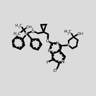 CC1(O)CCCN(c2nc(OCC3(CO[Si](c4ccccc4)(c4ccccc4)C(C)(C)C)CC3)nc3c(F)c(Cl)ncc23)C1